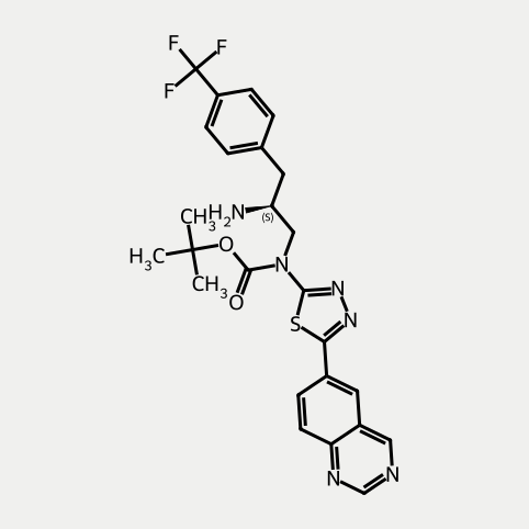 CC(C)(C)OC(=O)N(C[C@@H](N)Cc1ccc(C(F)(F)F)cc1)c1nnc(-c2ccc3ncncc3c2)s1